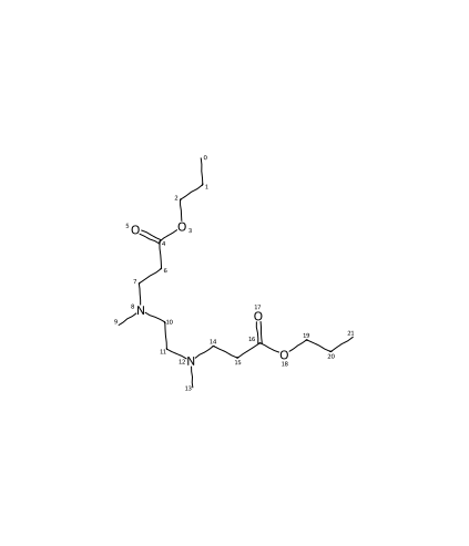 CCCOC(=O)CCN(C)CCN(C)CCC(=O)OCCC